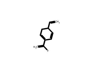 C=CC1C=CC(C(=C)F)=CC1